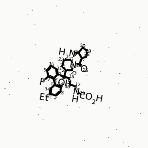 CCc1cccc(-c2c(F)cccc2C(O)(CCCNC(=O)O)C2CCCN(C(=O)C3CCCC3N)C2)c1